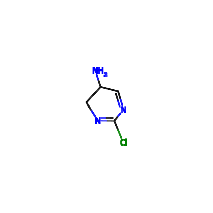 NC1C=NC(Cl)=NC1